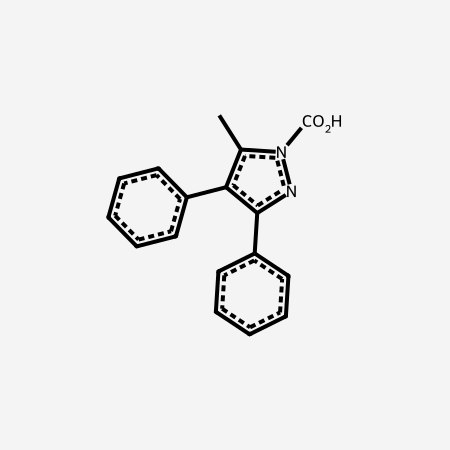 Cc1c(-c2ccccc2)c(-c2ccccc2)nn1C(=O)O